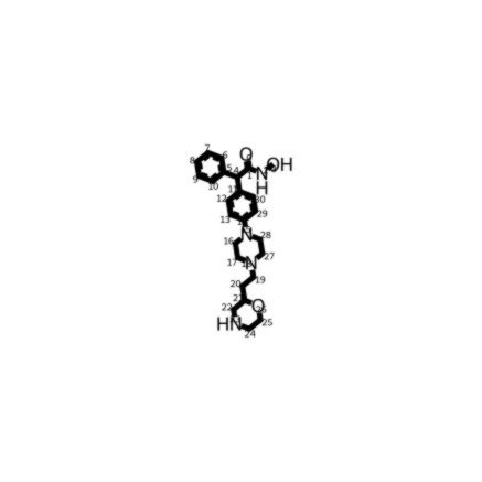 O=C(NO)C(c1ccccc1)c1ccc(N2CCN(CCC3CNCCO3)CC2)cc1